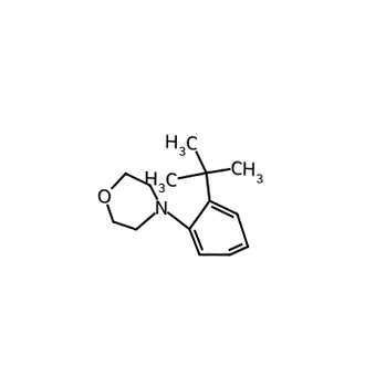 CC(C)(C)c1ccccc1N1CCOCC1